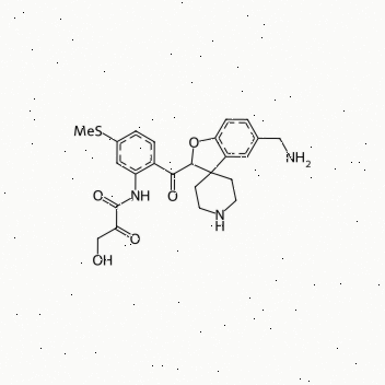 CSc1ccc(C(=O)C2Oc3ccc(CN)cc3C23CCNCC3)c(NC(=O)C(=O)CO)c1